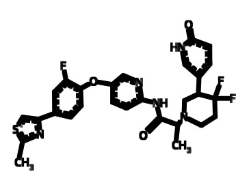 Cc1nc(-c2ccc(Oc3ccc(NC(=O)C(C)N4CCC(F)(F)C(c5ccc(=O)[nH]c5)C4)nc3)c(F)c2)cs1